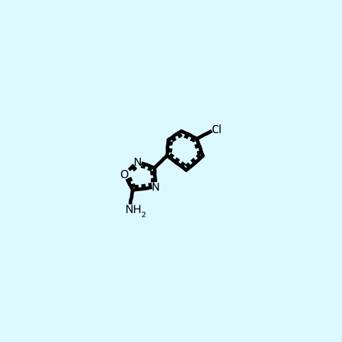 Nc1nc(-c2ccc(Cl)cc2)no1